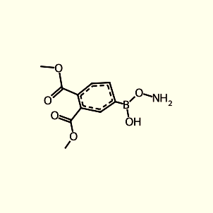 COC(=O)c1ccc(B(O)ON)cc1C(=O)OC